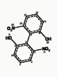 O=[N+]([O-])c1cccc(O)c1-c1c(O)cccc1[N+](=O)[O-]